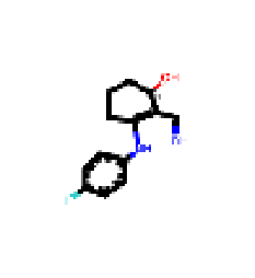 N=CC1=C(Nc2ccc(F)cc2)CCC[C@H]1O